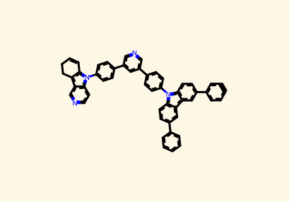 c1ccc(-c2ccc3c(c2)c2cc(-c4ccccc4)ccc2n3-c2ccc(-c3cncc(-c4ccc(-n5c6c(c7cnccc75)CCC=C6)cc4)c3)cc2)cc#1